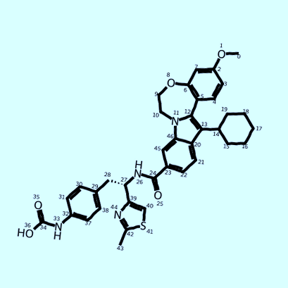 COc1ccc2c(c1)OCCn1c-2c(C2CCCCC2)c2ccc(C(=O)N[C@@H](Cc3ccc(NC(=O)O)cc3)c3csc(C)n3)cc21